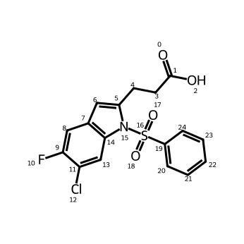 O=C(O)CCc1cc2cc(F)c(Cl)cc2n1S(=O)(=O)c1ccccc1